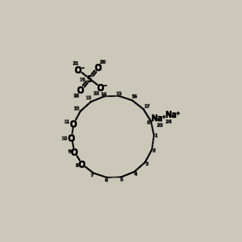 C1CCCCCCCOOOOCCCCCC1.O=S(=O)([O-])[O-].[Na+].[Na+]